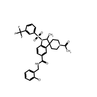 CC(=O)N1CCC2(CC1)c1cc(C(=O)NCc3ccccc3Cl)ccc1N(S(=O)(=O)c1cccc(C(F)(F)F)c1)C2C